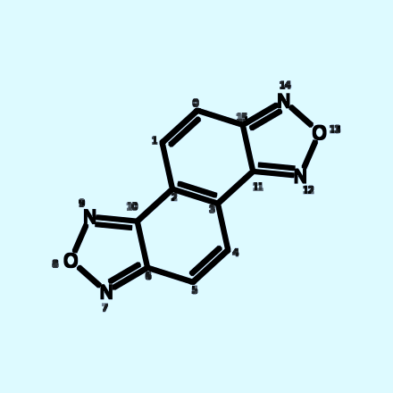 c1cc2c(ccc3nonc32)c2nonc12